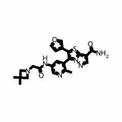 Cc1ncc(NC(=O)CN2CC(C)(C)C2)cc1-c1c(-c2ccoc2)sc2c(C(N)=O)cnn12